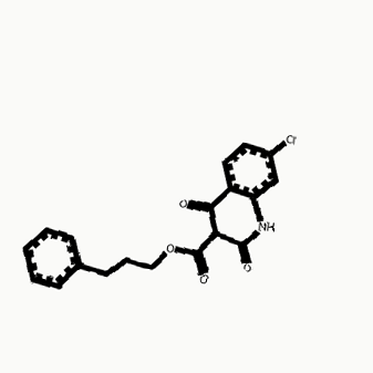 O=C1Nc2cc(Cl)ccc2C(=O)C1C(=O)OCCCc1ccccc1